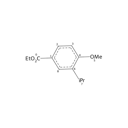 CCOC(=O)c1ccc(OC)c(C(C)C)c1